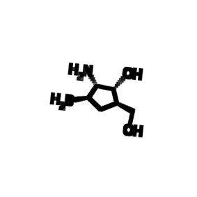 B[C@@H]1C[C@H](CO)[C@@H](O)[C@H]1N